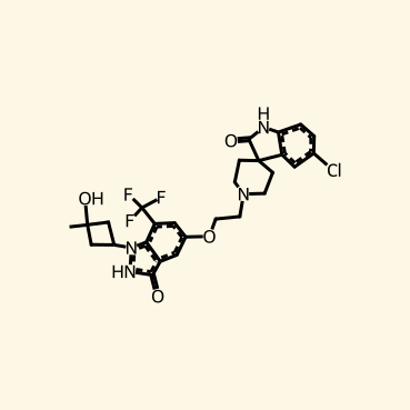 CC1(O)CC(n2[nH]c(=O)c3cc(OCCN4CCC5(CC4)C(=O)Nc4ccc(Cl)cc45)cc(C(F)(F)F)c32)C1